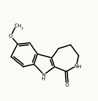 COc1ccc2[nH]c3c(c2c1)CCCNC3=O